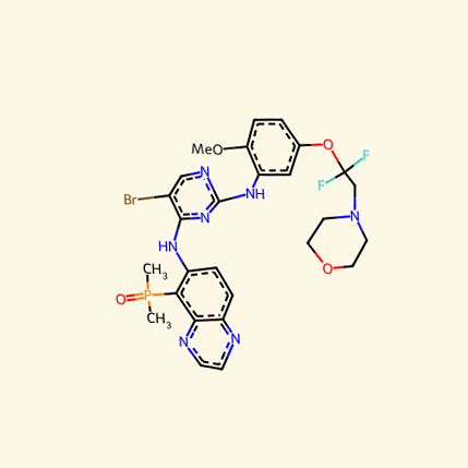 COc1ccc(OC(F)(F)CN2CCOCC2)cc1Nc1ncc(Br)c(Nc2ccc3nccnc3c2P(C)(C)=O)n1